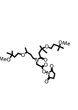 COC(C)(C)CCOC(C)CCN(CC(=O)ON1C(=O)CCC1=O)C(=O)CC(C)(C)OCCC(C)(C)OC